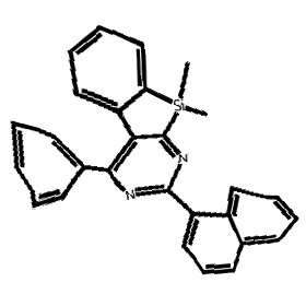 C[Si]1(C)c2ccccc2-c2c(-c3ccccc3)nc(-c3cccc4ccccc34)nc21